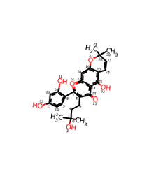 CC(C)(O)CCc1c(-c2ccc(O)cc2O)oc2cc3c(c(O)c2c1=O)C=CC(C)(C)O3